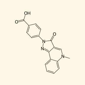 Cn1cc2c(=O)n(-c3ccc(C(=O)O)cc3)nc-2c2ccccc21